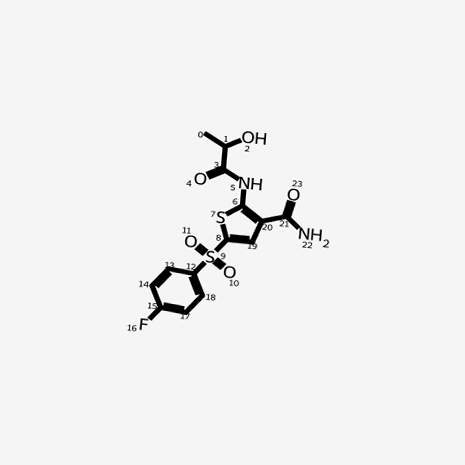 CC(O)C(=O)Nc1sc(S(=O)(=O)c2ccc(F)cc2)cc1C(N)=O